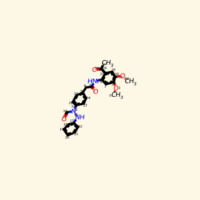 COc1cc(NC(=O)Cc2ccc(N(C=O)Nc3ccccc3)cc2)c(C(C)=O)cc1OC